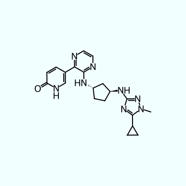 Cn1nc(N[C@H]2CC[C@H](Nc3nccnc3-c3ccc(=O)[nH]c3)C2)nc1C1CC1